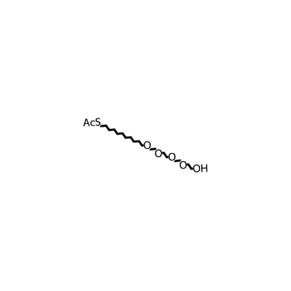 CC(=O)SCCCCCCCCCCCOCCOCCOCCOCCO